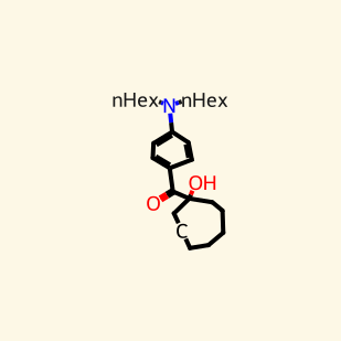 CCCCCCN(CCCCCC)c1ccc(C(=O)C2(O)CCCCCCC2)cc1